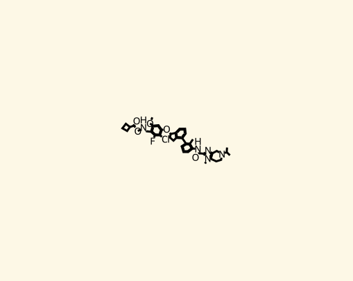 COc1cc(OC2CCc3c(-c4cccc(NC(=O)c5nc6c(n5C)CCN(C(C)C)C6)c4C)cccc32)c(Cl)c(F)c1CNOC(=O)C1CCC1